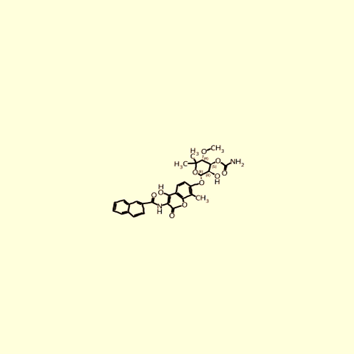 CO[C@@H]1[C@@H](OC(N)=O)[C@@H](O)[C@H](Oc2ccc3c(O)c(NC(=O)c4ccc5ccccc5c4)c(=O)oc3c2C)OC1(C)C